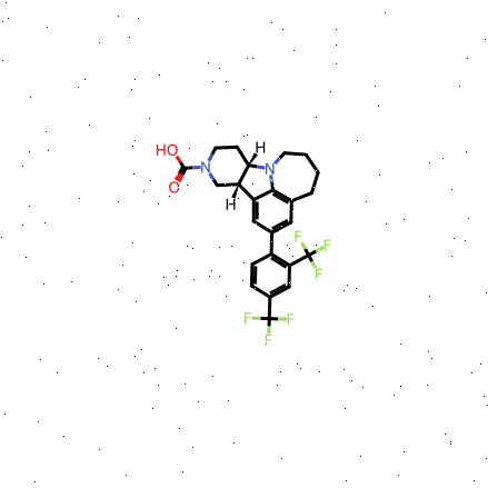 O=C(O)N1CC[C@H]2[C@@H](C1)c1cc(-c3ccc(C(F)(F)F)cc3C(F)(F)F)cc3c1N2CCCC3